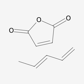 C=CC=CC.O=C1C=CC(=O)O1